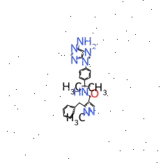 Cn1ncc(C(=O)NC(C)(C)c2ccc(-n3cnc4c(N)ncnc43)cc2)c1Cc1ccccc1